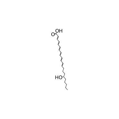 CCCCCC(O)CCC/C=C/C=C/C=C/C=C/C=C/C=C/C(=O)O